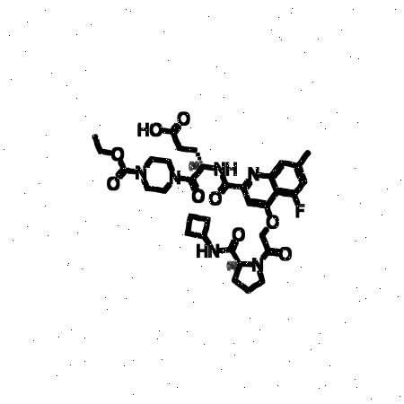 CCOC(=O)N1CCN(C(=O)[C@H](CCC(=O)O)NC(=O)c2cc(OCC(=O)N3CCC[C@H]3C(=O)NC3CCC3)c3c(F)cc(C)cc3n2)CC1